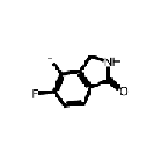 O=C1NCc2c1ccc(F)c2F